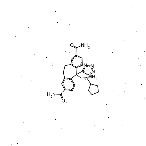 NC(=O)c1ccc2c(c1)CCc1cc(C(N)=O)ccc1C2(C[C@H](N)C1CCCC1)c1nnn[nH]1